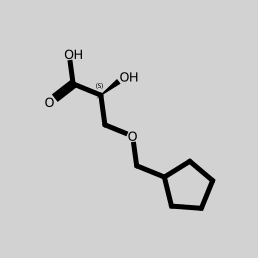 O=C(O)[C@@H](O)COCC1CCCC1